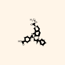 COC(=O)N1CCc2ccc3c(nc(C4CCC(C(=O)O)CC4)n3CC(F)(F)c3ccccc3)c2C1